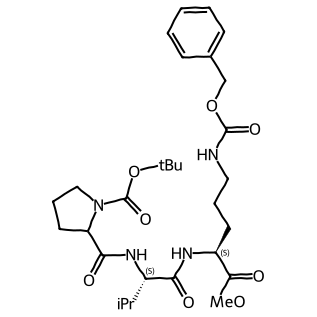 COC(=O)[C@H](CCCNC(=O)OCc1ccccc1)NC(=O)[C@@H](NC(=O)C1CCCN1C(=O)OC(C)(C)C)C(C)C